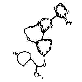 CC(Oc1ccc2c(c1)OCCn1cc(-c3ncnn3C(C)C)nc1-2)C1CCNCC1